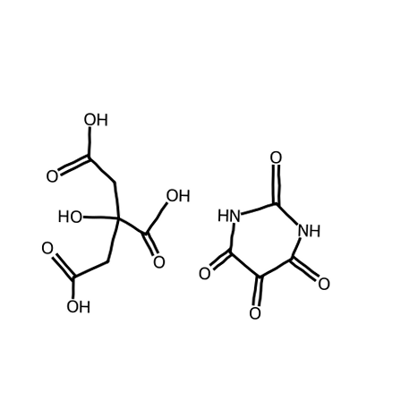 O=C(O)CC(O)(CC(=O)O)C(=O)O.O=C1NC(=O)C(=O)C(=O)N1